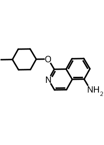 CC1CCC(Oc2nccc3c(N)cccc23)CC1